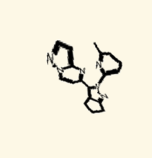 Cc1cccc(-n2nc3c(c2-c2ccn4nccc4n2)CCC3)n1